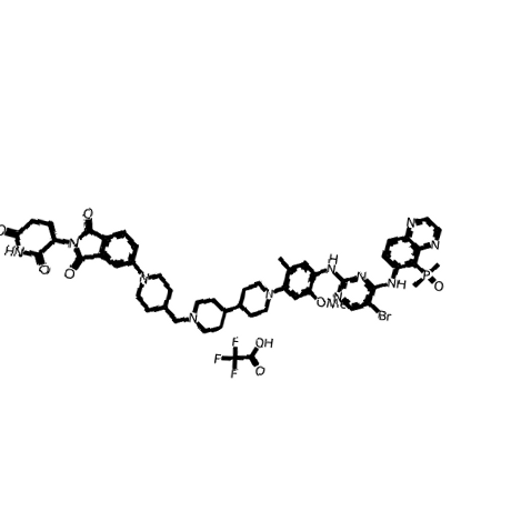 COc1cc(N2CCC(C3CCN(CC4CCN(c5ccc6c(c5)C(=O)N(C5CCC(=O)NC5=O)C6=O)CC4)CC3)CC2)c(C)cc1Nc1ncc(Br)c(Nc2ccc3nccnc3c2P(C)(C)=O)n1.O=C(O)C(F)(F)F